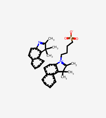 CC1=Nc2ccc3ccccc3c2C1(C)C.CC1=[N+](CCCCS(=O)(=O)[O-])c2ccc3ccccc3c2C1(C)C